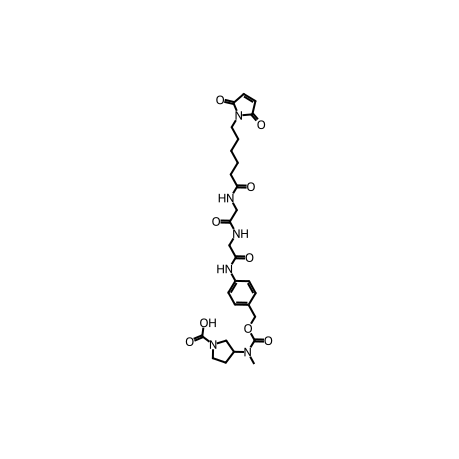 CN(C(=O)OCc1ccc(NC(=O)CNC(=O)CNC(=O)CCCCCN2C(=O)C=CC2=O)cc1)C1CCN(C(=O)O)C1